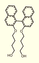 OCCCCOc1ccc2ccccc2c1-c1c(OCCCCO)ccc2ccccc12